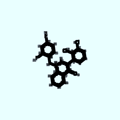 O=c1c(-c2cccc(Cl)c2Cl)nn(Cc2ccc(F)cc2F)c2ccccc12